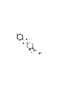 O=C(O)Oc1noc2c1CNC(S(=O)(=O)c1ccc(F)cc1)C2